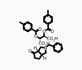 Cc1ccc(C(=O)O[C@@H](C(=O)O)[C@@H](OC(=O)c2ccc(C)cc2)C(=O)O)cc1.O=C1CC[C@H]2CN(Cc3ccccc3)C[C@@H]12